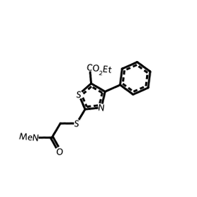 CCOC(=O)c1sc(SCC(=O)NC)nc1-c1ccccc1